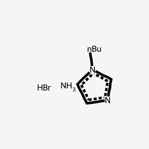 Br.CCCCn1ccnc1.N